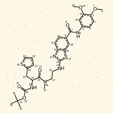 COc1ccc(NC(=O)c2ccc3nc(NCCN(C)C(=O)C(Cc4cccs4)NC(=O)OC(C)(C)C)sc3c2)cc1OC